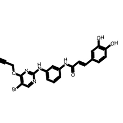 C#CCOc1nc(Nc2cccc(NC(=O)/C=C/c3ccc(O)c(O)c3)c2)ncc1Br